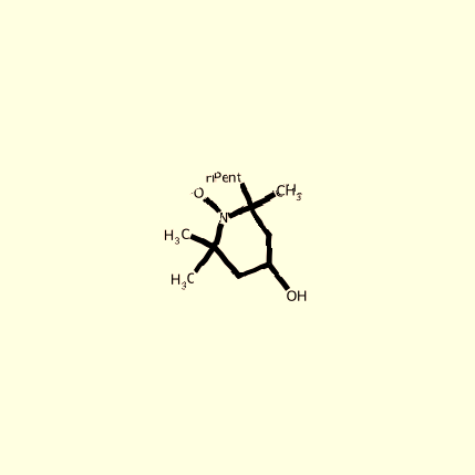 CCCCCC1(C)CC(O)CC(C)(C)N1[O]